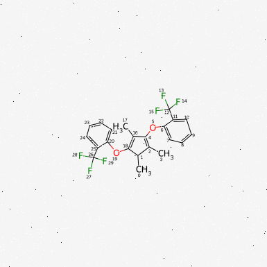 C[C]1C(C)=C(Oc2ccccc2C(F)(F)F)C(C)=C1Oc1ccccc1C(F)(F)F